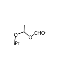 CC(C)OC(C)O[C]=O